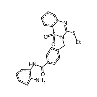 CCSC1=Nc2ccccc2S(=O)(=O)N1Cc1ccc(C(=O)Nc2ccccc2N)cc1